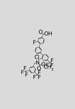 COC(=O)N(Cc1cc(C(F)(F)F)cc(C(F)(F)F)c1)Cc1cc(C(F)(F)F)ccc1-c1cc(-c2ccc(C(=O)O)cc2F)ccc1Cl